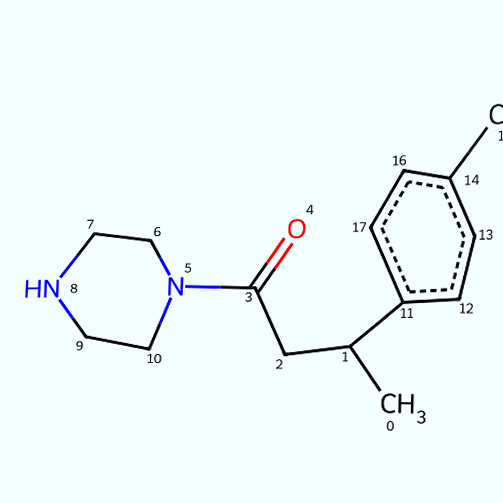 CC(CC(=O)N1CCNCC1)c1ccc(C(F)(F)F)cc1